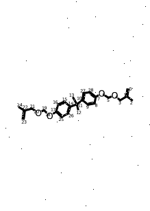 C=C(C)COCOc1ccc(C(C)(C)c2ccc(OCOCC(=C)C)cc2)cc1